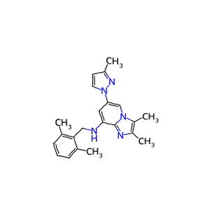 Cc1ccn(-c2cc(NCc3c(C)cccc3C)c3nc(C)c(C)n3c2)n1